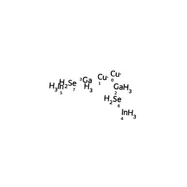 [Cu].[Cu].[GaH3].[GaH3].[InH3].[InH3].[SeH2].[SeH2]